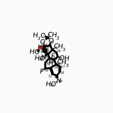 CC1(C)O[C@@H]2C[C@H]3[C@@H]4C[C@H](F)C5=CC(=NO)C=C[C@]5(C)[C@@]4(F)[C@@H](O)C[C@]3(C)[C@]2(/C(CO)=N/O)O1